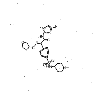 CN1CCC(NS(=O)(=O)c2ccc(/C(=N\O[C@@H]3CCOC3)C(=O)Nc3ncc(F)s3)cc2)CC1